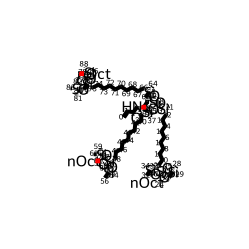 C=CC(=O)NCC[Si](O[Si](C)(C)CCCCCCCCCC[Si](OCCCCCCCC)(O[Si](C)(C)C)O[Si](C)(C)C)(O[Si](C)(C)CCCCCCCCCC[Si](OCCCCCCCC)(O[Si](C)(C)C)O[Si](C)(C)C)O[Si](C)(C)CCCCCCCCCC[Si](OCCCCCCCC)(O[Si](C)(C)C)O[Si](C)(C)C